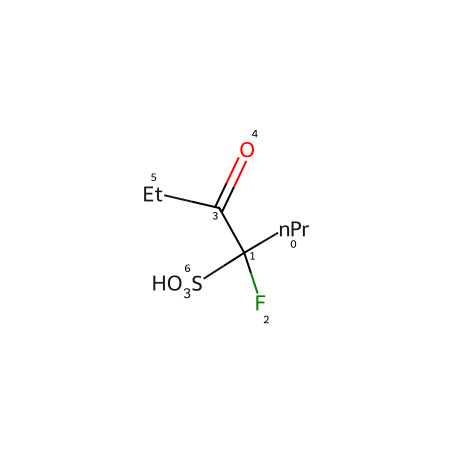 CCCC(F)(C(=O)CC)S(=O)(=O)O